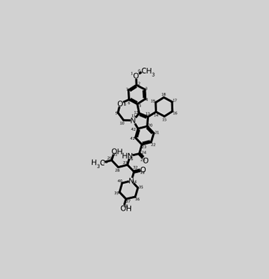 COc1ccc2c(c1)OCCn1c-2c(C2CCCCC2)c2ccc(C(=O)NC(CC(C)O)C(=O)N3CCC(O)CC3)cc21